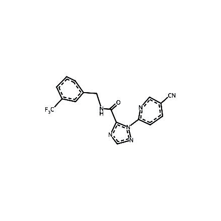 N#Cc1ccc(-n2ncnc2C(=O)NCc2cccc(C(F)(F)F)c2)nc1